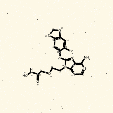 Nc1ncnc2c1nc(Sc1cc3c(cc1Br)OCO3)n2CCOCC(=O)NO